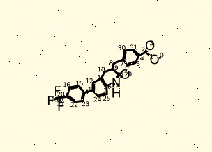 COC(=O)c1ccc(CC2Cc3cc(-c4ccc(C(F)(F)F)cc4)ccc3NC2=O)cc1